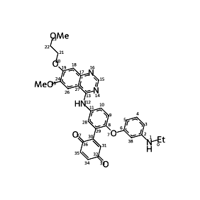 CCNc1cccc(Oc2ccc(Nc3ncnc4cc(OCCOC)c(OC)cc34)cc2C2=CC(=O)C=CC2=O)c1